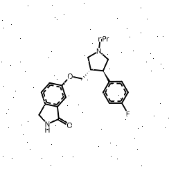 CCCN1C[C@@H](COc2ccc3c(c2)C(=O)NC3)[C@H](c2ccc(F)cc2)C1